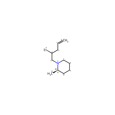 C=CCC(CC)CN1CCCC[C@H]1C